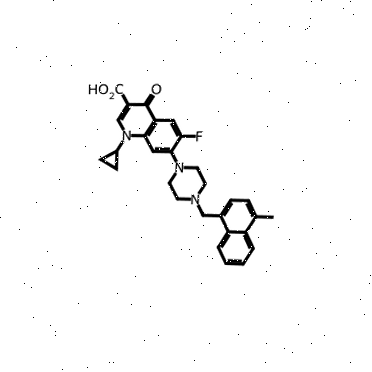 Cc1ccc(CN2CCN(c3cc4c(cc3F)c(=O)c(C(=O)O)cn4C3CC3)CC2)c2ccccc12